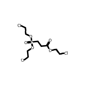 O=C(CCP(=O)(OCCCl)OCCCl)OCCCl